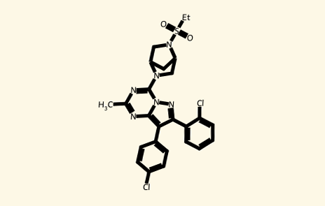 CCS(=O)(=O)N1CC2CC1CN2c1nc(C)nc2c(-c3ccc(Cl)cc3)c(-c3ccccc3Cl)nn12